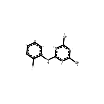 Sc1nc(S)nc(Nc2ccccc2Cl)n1